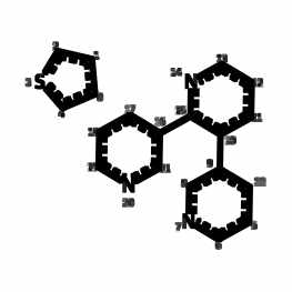 c1ccsc1.c1cncc(-c2cccnc2-c2cccnc2)c1